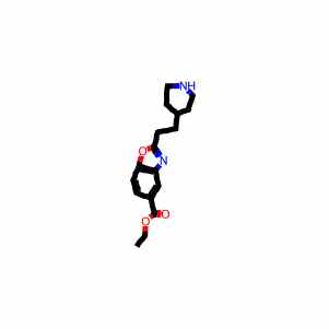 CCOC(=O)c1ccc2oc(CCC3CCNCC3)nc2c1